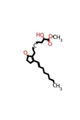 CCCCCC/C=C/C1=C(CC=C=CCC(O)C(=O)OC)C(=O)CC1